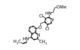 C/C=C\Nc1cc(C)nc2c(OCc3c(Cl)cnc(NCCOC)c3Cl)cccc12